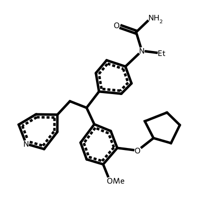 CCN(C(N)=O)c1ccc(C(Cc2ccncc2)c2ccc(OC)c(OC3CCCC3)c2)cc1